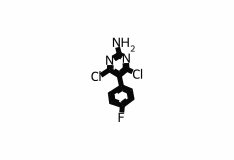 Nc1nc(Cl)c(-c2ccc(F)cc2)c(Cl)n1